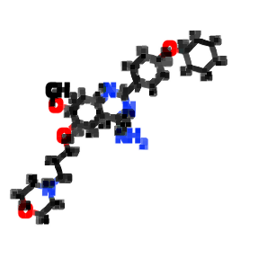 COc1cc2nc(-c3ccc(OC4CCCCC4)cc3)nc(N)c2cc1OCCCN1CCOCC1